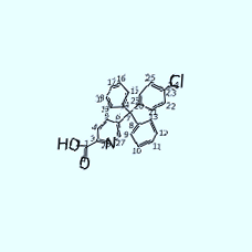 O=C(O)c1ccc(C(c2ccccc2)(c2ccccc2)c2ccc(Cl)cc2)cn1